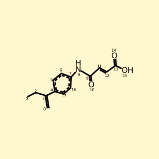 C=C(CC)c1ccc(NC(=O)C=CC(=O)O)cc1